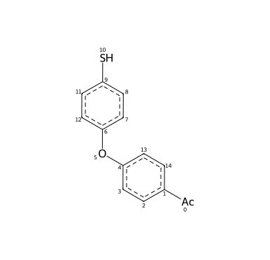 CC(=O)c1ccc(Oc2ccc(S)cc2)cc1